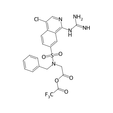 N=C(N)Nc1ncc(Cl)c2ccc(S(=O)(=O)N(CC(=O)OC(=O)C(F)(F)F)Cc3ccccc3)cc12